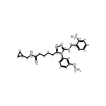 COc1cccc(-n2c(CCCCC(=O)NCC3CC3)nnc2SCc2ccccc2C)c1